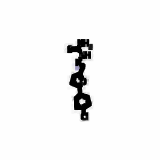 NC(=S)N/N=C/c1ccc(-c2ccc(Cl)cc2)o1